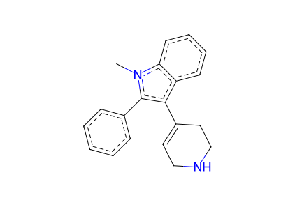 Cn1c(-c2ccccc2)c(C2=CCNCC2)c2ccccc21